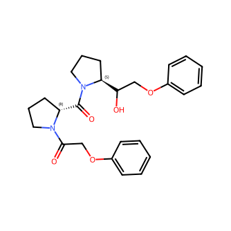 O=C(COc1ccccc1)N1CCC[C@@H]1C(=O)N1CCC[C@H]1C(O)COc1ccccc1